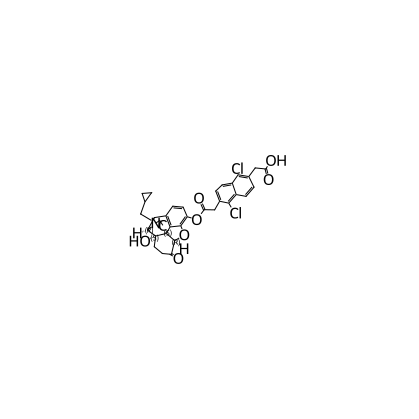 O=C(O)Cc1ccc2c(Cl)c(CC(=O)Oc3ccc4c5c3O[C@H]3C(=O)CC[C@@]6(O)[C@@H](C4)N(CC4CC4)CC[C@]536)ccc2c1Cl